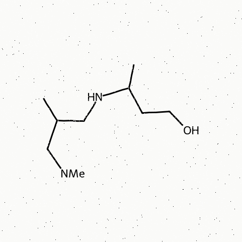 CNCC(C)CNC(C)CCO